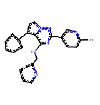 Cc1ccc(-c2nc(NCc3ccccn3)c3c(-c4ccccc4)ccn3n2)cn1